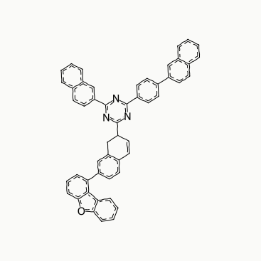 C1=CC(c2nc(-c3ccc(-c4ccc5ccccc5c4)cc3)nc(-c3ccc4ccccc4c3)n2)Cc2cc(-c3cccc4oc5ccccc5c34)ccc21